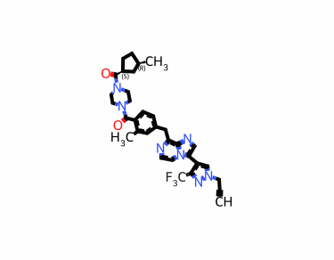 C#CCn1cc(-c2cnc3c(Cc4ccc(C(=O)N5CCN(C(=O)[C@H]6CC[C@@H](C)C6)CC5)c(C)c4)nccn23)c(C(F)(F)F)n1